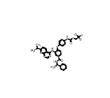 CC(C)c1ccc2c(Nc3cc(C(=O)NC(C)c4ccccc4)ccc3Sc3ccc(NC(=O)OCC(Cl)(Cl)Cl)cc3)ncnc2n1